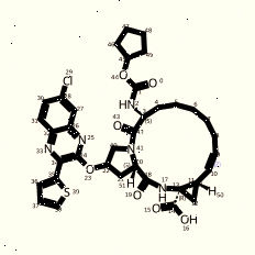 O=C(N[C@H]1CCCCC/C=C\[C@@H]2C[C@@]2(C(=O)O)NC(=O)[C@@H]2CC(Oc3nc4cc(Cl)ccc4nc3-c3cccs3)CN2C1=O)OC1CCCC1